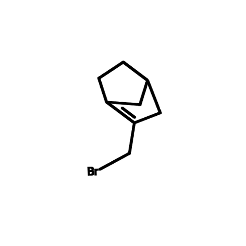 BrCC1=C2CCC(C1)C2